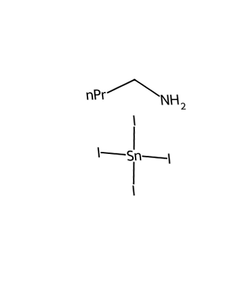 CCCCN.[I][Sn]([I])([I])[I]